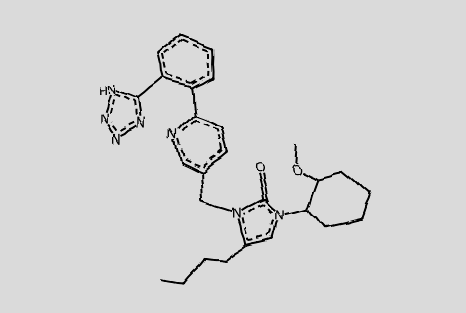 CCCCc1cn(C2CCCCC2OC)c(=O)n1Cc1ccc(-c2ccccc2-c2nnn[nH]2)nc1